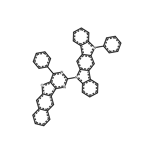 c1ccc(-c2nc(-n3c4ccccc4c4cc5c(cc43)c3ccccc3n5-c3ccccc3)nc3c2oc2cc4ccccc4cc23)cc1